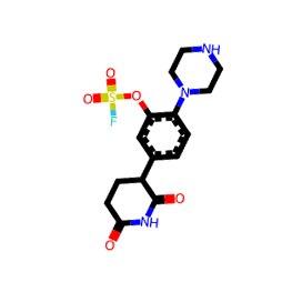 O=C1CCC(c2ccc(N3CCNCC3)c(OS(=O)(=O)F)c2)C(=O)N1